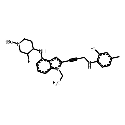 CCc1cc(C)ccc1NCC#Cc1cc2c(NC3CCN(C(C)(C)C)CC3F)cccc2n1CC(F)(F)F